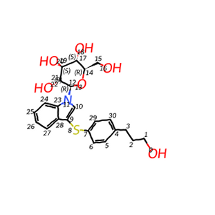 OCCCc1ccc(Sc2cn([C@@H]3O[C@H](CO)[C@@H](O)[C@H](O)[C@H]3O)c3ccccc23)cc1